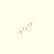 COC(=O)c1ccc(-c2ncc(-c3c(C)noc3C)cc2[N+](=O)[O-])cn1